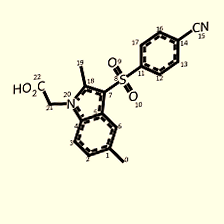 Cc1ccc2c(c1)c(S(=O)(=O)c1ccc(C#N)cc1)c(C)n2CC(=O)O